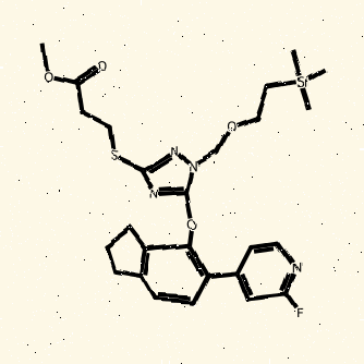 COC(=O)CCSc1nc(Oc2c(-c3ccnc(F)c3)ccc3c2CCC3)n(COCC[Si](C)(C)C)n1